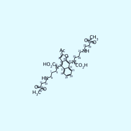 CC(=O)c1cc2c(N(CCCNCCS(C)(=O)=O)C(=O)O)c3ccccc3c(N(CCCNCCS(C)(=O)=O)C(=O)O)c2o1